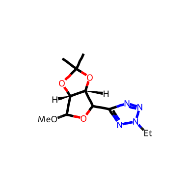 CCn1nnc(C2OC(OC)[C@@H]3OC(C)(C)O[C@H]23)n1